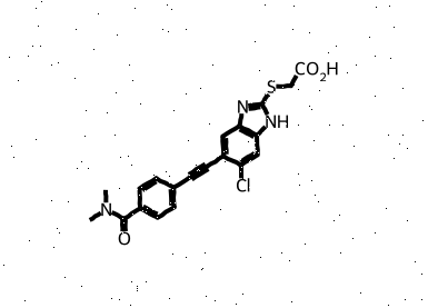 CN(C)C(=O)c1ccc(C#Cc2cc3nc(SCC(=O)O)[nH]c3cc2Cl)cc1